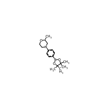 C[C@H]1CN(c2ccc(B3OC(C)(C)C(C)(C)O3)cc2)CCO1